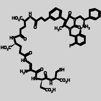 Cc1c(-c2cccc(CCC(=O)N[C@@H](CCC(=O)N[C@H](CCC(=O)N/C=C(\N)C(=O)N[C@@H](CC(=O)O)C(=O)N[C@@H](CS)C(=O)O)C(=O)O)C(=O)O)c2)c(=O)n(C[C@H](N)c2ccccc2)c(=O)n1Cc1c(F)cccc1F